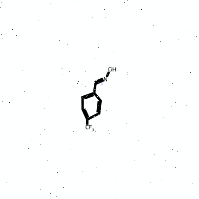 O/N=C/c1ccc(C(F)(F)F)cc1